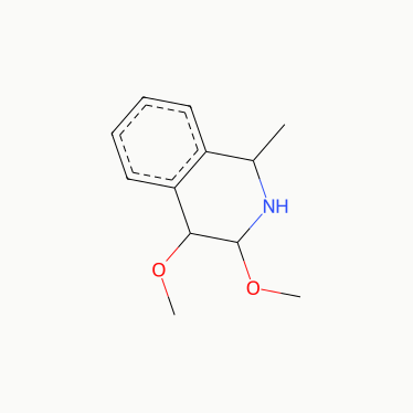 COC1NC(C)c2ccccc2C1OC